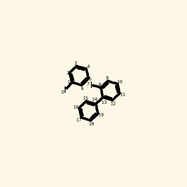 Ic1ccccc1.Ic1ccccc1-c1ccccc1